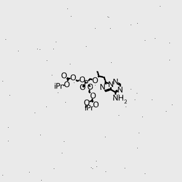 CC(C)OC(=O)OCOP(=O)(COC(C)Cc1ncc2c(N)ncnn12)OCOC(=O)OC(C)C